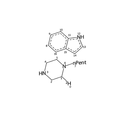 [2H]C1CNCCN1CCCCC.c1ccc2[nH]ccc2c1